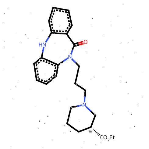 CCOC(=O)[C@@H]1CCCN(CCCN2C(=O)c3ccccc3Nc3ccccc32)C1